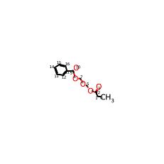 CCC(=O)OCOCOC(=O)c1ccccc1